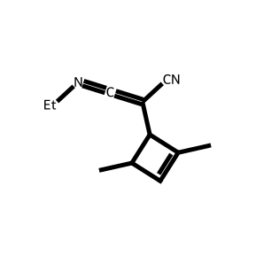 CCN=C=C(C#N)C1C(C)=CC1C